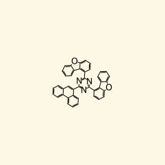 c1ccc2c(c1)cc(-c1nc(-c3cccc4oc5ccccc5c34)nc(-c3cccc4oc5ccccc5c34)n1)c1ccccc12